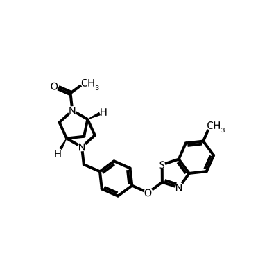 CC(=O)N1C[C@@H]2C[C@H]1CN2Cc1ccc(Oc2nc3ccc(C)cc3s2)cc1